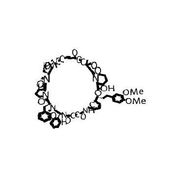 COc1ccc(CC[C@H]2OC(O)C3CCCCN3C(=O)C(=O)C(C)(C)COC(=O)/C=C/CCN(C)C(=O)[C@H](CC(C)C)N(C)C(=O)[C@H]3CCCN3C(=O)[C@H](Cc3ccccc3)N(C)C(=O)[C@H](c3ccccc3)NC(=O)CCC(=O)Nc3cccc2c3)cc1OC